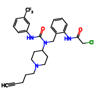 C#CCCCN1CCC(N(Cc2ccccc2NC(=O)CCl)C(=O)Nc2cccc(C(F)(F)F)c2)CC1